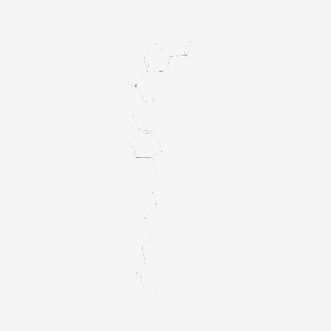 O=C(O)NCCCCCCOc1ccc(CNC(=O)c2ccc(C(=O)C(F)(F)F)s2)cc1